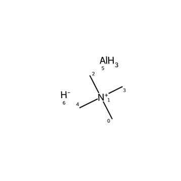 C[N+](C)(C)C.[AlH3].[H-]